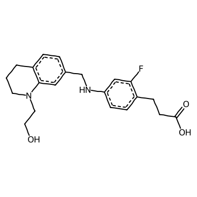 O=C(O)CCc1ccc(NCc2ccc3c(c2)N(CCO)CCC3)cc1F